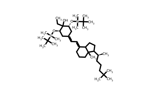 CCC1(O)[C@H](O[Si](C)(C)C(C)(C)C)CC(=C/C=C2\CCCC3(C)C2CCC3[C@@H](C)CCCC(C)(C)C)C[C@H]1O[Si](C)(C)C(C)(C)C